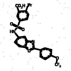 CC(C)c1ccc(S(=O)(=O)Nc2ccc3oc(-c4ccc(OC(F)(F)F)cc4)nc3c2)cc1C(=O)O